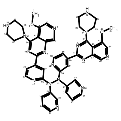 COc1cncc2nc(-c3ccnc(N(c4cccnc4)N(c4cccnc4)c4cc(-c5nc(N6CCNCC6)c6c(OC)cncc6n5)ccn4)c3)nc(N3CCNCC3)c12